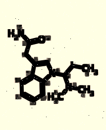 CCC(N(C)C)n1cc(CC(N)=O)c2ccccc21